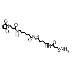 NSCCC(=O)NCCCCCCNC(=O)CCCCCNC(=O)CCN1C(=O)C=CC1=O